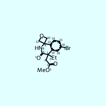 CCC1(CC(=O)OC)C(=O)NC2(COC2)c2ccc(Br)cc21